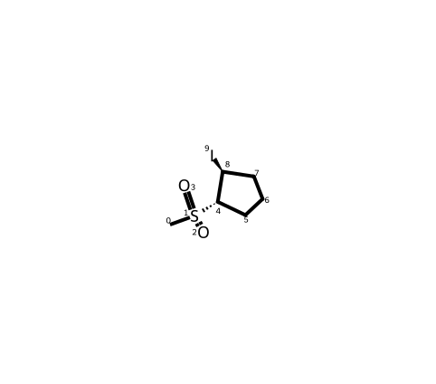 CS(=O)(=O)[C@H]1CCC[C@@H]1I